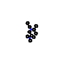 c1ccc(-c2ccc(N(c3cc(-c4ccccc4)cc(-c4ccccc4)c3)c3cccc(C4Cc5ccccc5-c5c4c4ccccc4n5-c4ccccc4)c3)cc2)cc1